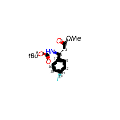 COC(=O)C[C@@H](NC(=O)OC(C)(C)C)c1ccc(F)cc1